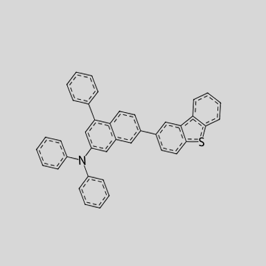 c1ccc(-c2cc(N(c3ccccc3)c3ccccc3)cc3cc(-c4ccc5sc6ccccc6c5c4)ccc23)cc1